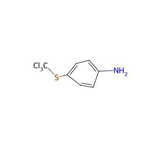 Nc1ccc(SC(Cl)(Cl)Cl)cc1